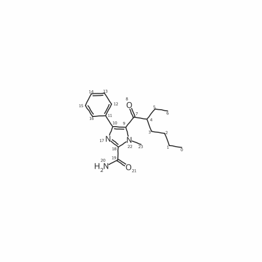 CCCCC(CC)C(=O)c1c(-c2ccccc2)nc(C(N)=O)n1C